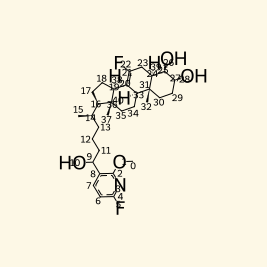 COc1nc(F)ccc1C(O)CCC[C@@H](C)[C@H]1CC[C@H]2C3=C(F)C[C@H]4[C@@H](O)[C@@H](O)CC[C@]4(C)[C@H]3CC[C@]12C